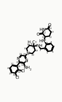 CC1(NCc2ccccc2NC2CCC(=O)NC2=O)CCN(c2cnc(-c3cccc(Cl)c3Cl)c(N)n2)CC1